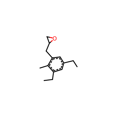 CCc1cc(CC)c(C)c(CC2CO2)c1